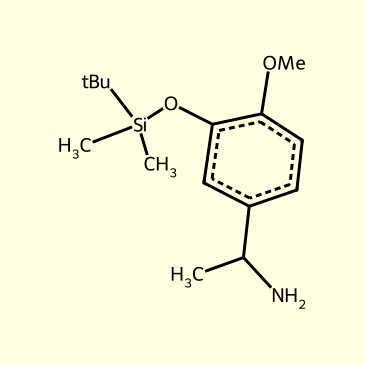 COc1ccc(C(C)N)cc1O[Si](C)(C)C(C)(C)C